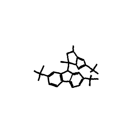 CC1CC(C)(C2c3cc(C(C)(C)C)ccc3-c3ccc(C(C)(C)C)cc32)C2C=C(C(C)(C)C)C=C12